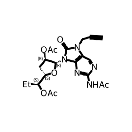 C#CCn1c(=O)n([C@@H]2O[C@H]([C@H](CC)OC(C)=O)C[C@H]2OC(C)=O)c2nc(NC(C)=O)ncc21